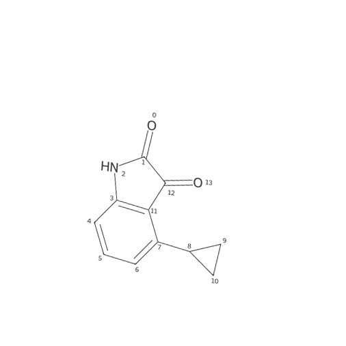 O=C1Nc2cccc(C3CC3)c2C1=O